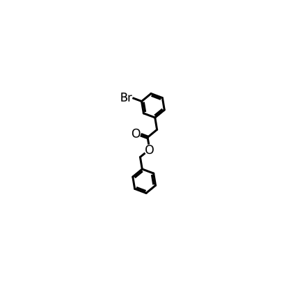 O=C(Cc1cccc(Br)c1)OCc1ccccc1